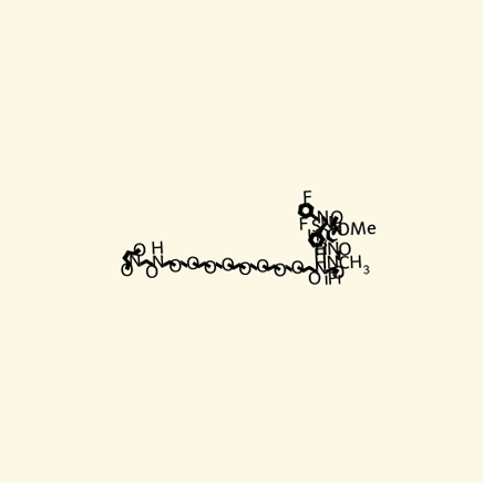 CON(C)C(=O)N1N=C(c2cc(F)ccc2F)S[C@@]1(CCCNC(=O)[C@H](C)NC(=O)[C@@H](NC(=O)CCOCCOCCOCCOCCOCCOCCOCCOCCNC(=O)CCN1C(=O)C=CC1=O)C(C)C)c1ccccc1